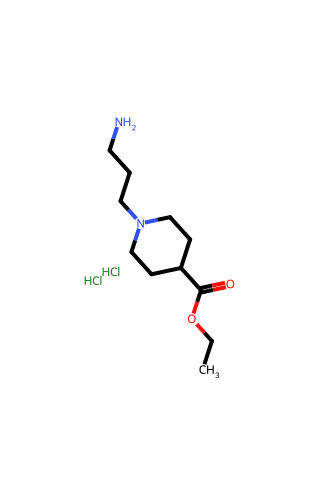 CCOC(=O)C1CCN(CCCN)CC1.Cl.Cl